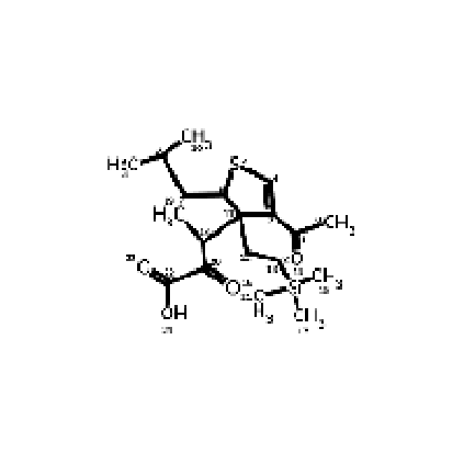 CC(=O)C1=CSC(CC(C)C)C1(CC[Si](C)(C)C)C(C)C(=O)C(=O)O